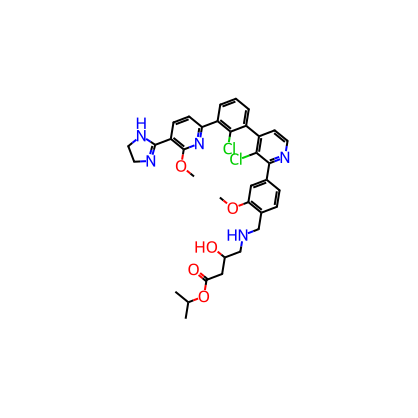 COc1cc(-c2nccc(-c3cccc(-c4ccc(C5=NCCN5)c(OC)n4)c3Cl)c2Cl)ccc1CNCC(O)CC(=O)OC(C)C